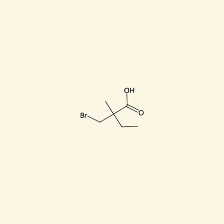 CCC(C)(CBr)C(=O)O